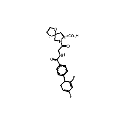 O=C(NCC(=O)N1CC2(C[C@H]1C(=O)O)OCCO2)c1ccc(C2CC=C(F)C=C2F)cc1